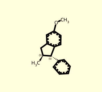 COc1ccc2c(c1)C[C@H](C)[C@H]2c1ccccc1